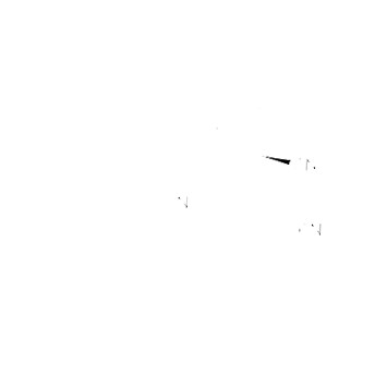 N#Cc1cccnc1[C@@]1(C#N)C[C@H]1c1ccccc1